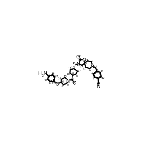 N#Cc1ccc(CN2CCC3(CC2)CN(C[C@H]2CC[C@H](C(=O)N4CCC(Oc5ccc(N)cc5)CC4)CC2)C(=O)O3)cc1